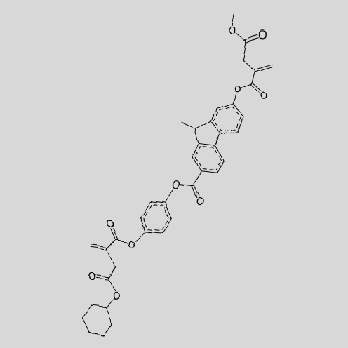 C=C(CC(=O)OC)C(=O)Oc1ccc2c(c1)C(C)c1cc(C(=O)Oc3ccc(OC(=O)C(=C)CC(=O)OC4CCCCC4)cc3)ccc1-2